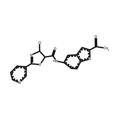 CC(=O)c1cc2cc(NC(=O)C3SC(c4cccnc4)=NC3Cl)ccc2s1